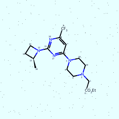 CCOC(=O)CN1CCN(c2cc(C(F)(F)F)nc(N3CC[C@@H]3C)n2)CC1